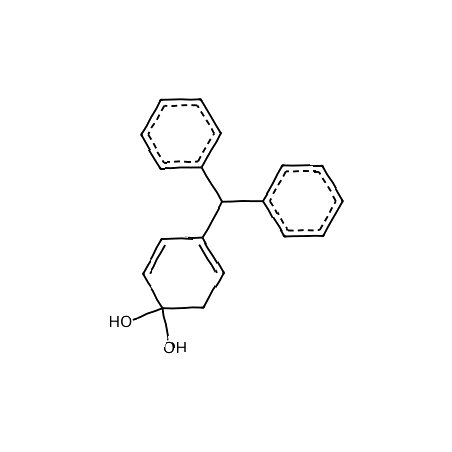 OC1(O)C=CC(C(c2ccccc2)c2ccccc2)=CC1